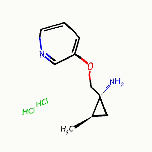 C[C@@H]1C[C@]1(N)COc1cccnc1.Cl.Cl